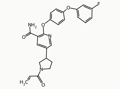 C=CC(=O)N1CCC(c2cnc(Oc3ccc(Oc4cccc(F)c4)cc3)c(C(N)=O)c2)C1